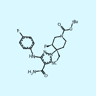 CC(C)(C)OC(=O)N1CC[C@](CC#N)(n2cc(C(N)=O)c(Nc3ccc(F)cc3)n2)[C@@H](F)C1